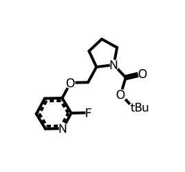 CC(C)(C)OC(=O)N1CCCC1COc1cccnc1F